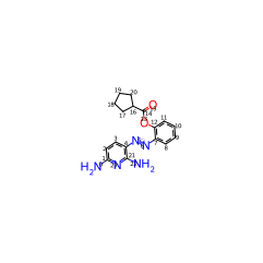 Nc1ccc(/N=N/c2ccccc2OC(=O)C2CCCC2)c(N)n1